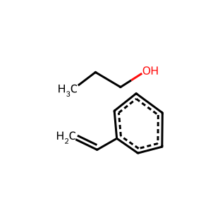 C=Cc1ccccc1.CCCO